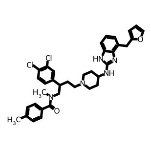 Cc1ccc(C(=O)N(C)CC(CCN2CCC(Nc3nc4c(Cc5ccco5)cccc4[nH]3)CC2)c2ccc(Cl)c(Cl)c2)cc1